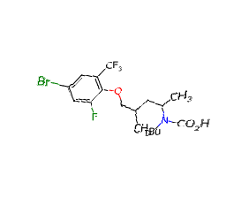 CC(COc1c(F)cc(Br)cc1C(F)(F)F)CC(C)N(C(=O)O)C(C)(C)C